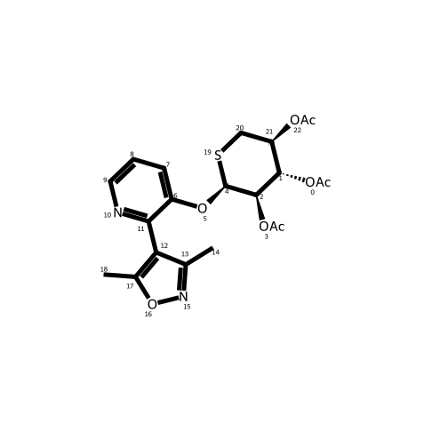 CC(=O)O[C@@H]1[C@@H](OC(C)=O)[C@@H](Oc2cccnc2-c2c(C)noc2C)SC[C@H]1OC(C)=O